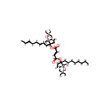 CCCCCCCCC(CC)(OC(=O)/C=C/C(=O)OC(CC)(CCCCCCCC)[Si](C)(C)O[Si](C)(C)C)[Si](C)(C)O[Si](C)(C)C